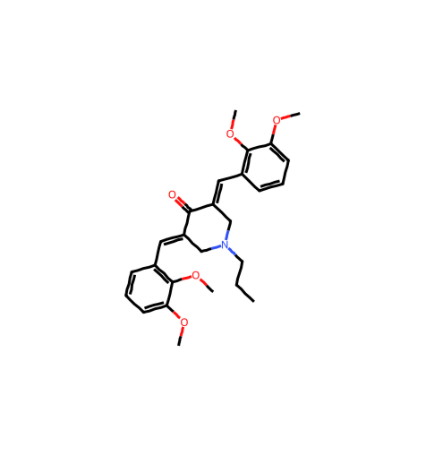 CCCN1C/C(=C\c2cccc(OC)c2OC)C(=O)/C(=C/c2cccc(OC)c2OC)C1